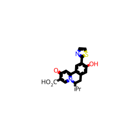 CC(C)C1Cc2cc(O)c(-c3nccs3)cc2-c2cc(=O)c(C(=O)O)cn21